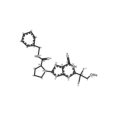 COCC(F)(F)c1nc2sc(N3CCCC3C(=O)NCc3ccccc3)nc2c(=O)[nH]1